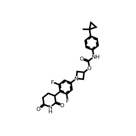 CC1(c2ccc(NC(=O)OC3CN(c4cc(F)c(C5CCC(=O)NC5=O)c(F)c4)C3)cc2)CC1